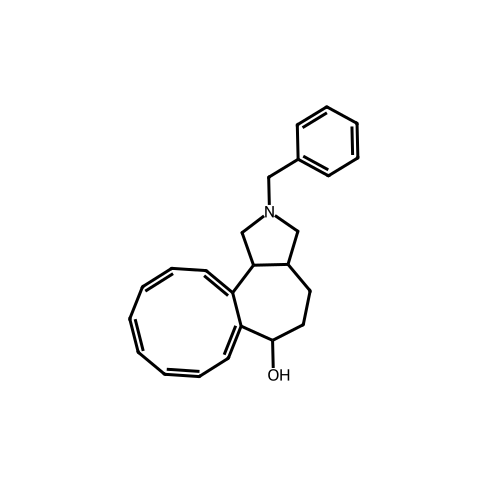 OC1CCC2CN(Cc3ccccc3)CC2c2ccccccccc21